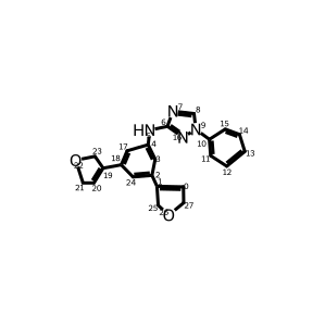 C1=C(c2cc(Nc3ncn(-c4ccccc4)n3)cc(C3=CCOC3)c2)COC1